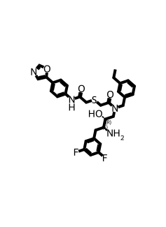 CCc1cccc(CN(C[C@@H](O)[C@@H](N)Cc2cc(F)cc(F)c2)C(=O)CSCC(=O)Nc2ccc(-c3cnco3)cc2)c1